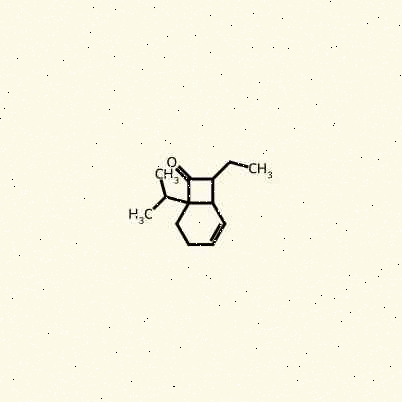 CCC1C(=O)C2(C(C)C)CCC=CC12